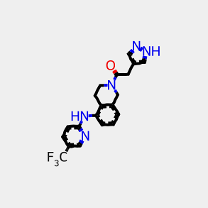 O=C(Cc1cn[nH]c1)N1CCc2c(cccc2Nc2ccc(C(F)(F)F)cn2)C1